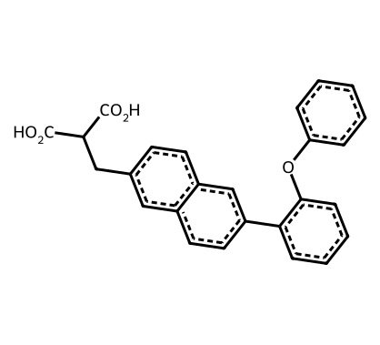 O=C(O)C(Cc1ccc2cc(-c3ccccc3Oc3ccccc3)ccc2c1)C(=O)O